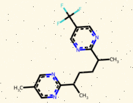 Cc1cnc(C(C)CCC(C)c2ncc(C(F)(F)F)cn2)nc1